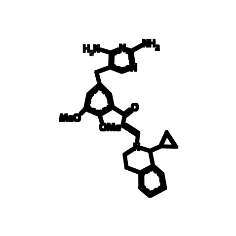 COc1cc(Cc2cnc(N)nc2N)cc(C(=O)/C=C/N2CCc3ccccc3C2C2CC2)c1OC